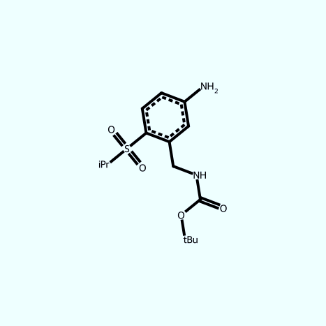 CC(C)S(=O)(=O)c1ccc(N)cc1CNC(=O)OC(C)(C)C